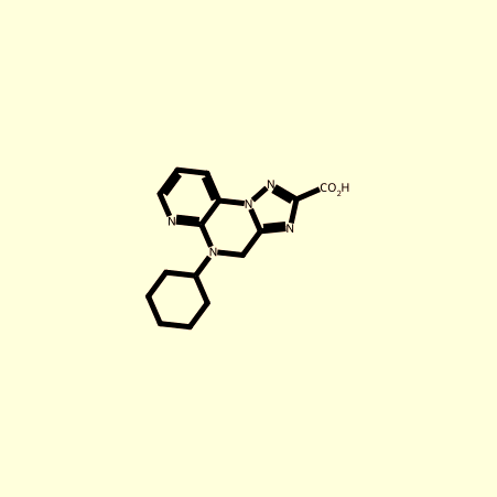 O=C(O)c1nc2n(n1)-c1cccnc1N(C1CCCCC1)C2